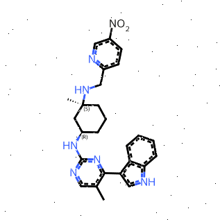 Cc1cnc(N[C@@H]2CCC[C@](C)(NCc3ccc([N+](=O)[O-])cn3)C2)nc1-c1c[nH]c2ccccc12